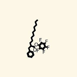 CCCCCCCCCCC(Cc1ccccc1)C(=O)Oc1c(F)c(F)c(F)c(F)c1F